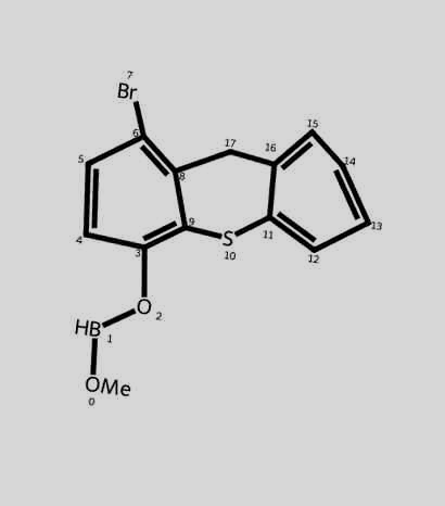 COBOc1ccc(Br)c2c1Sc1ccccc1C2